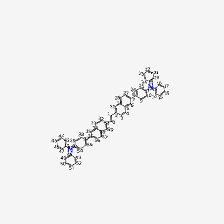 C(=C\c1ccc2cc(-c3ccc(N(c4ccccc4)c4ccccc4)cc3)ccc2c1)/c1ccc2cc(-c3ccc(N(c4ccccc4)c4ccccc4)cc3)ccc2c1